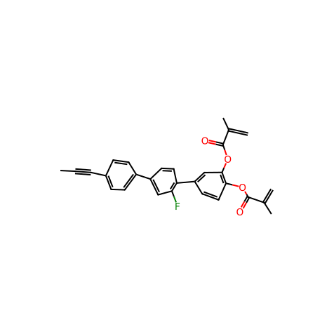 C=C(C)C(=O)Oc1ccc(-c2ccc(-c3ccc(C#CC)cc3)cc2F)cc1OC(=O)C(=C)C